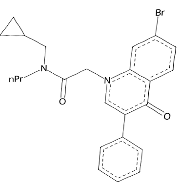 CCCN(CC1CC1)C(=O)Cn1cc(-c2ccccc2)c(=O)c2ccc(Br)cc21